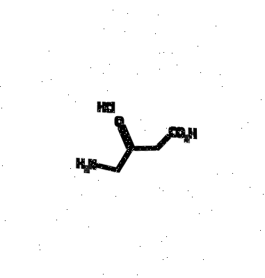 Cl.NCC(=O)CC(=O)O